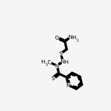 CN(NSCC(N)=O)C(=S)c1ccccn1